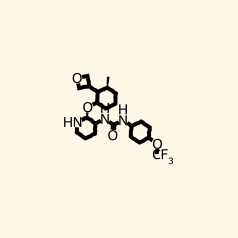 C[C@H]1CCCC(O[C@@H]2NCCCC2NC(=O)NC2CCC(OC(F)(F)F)CC2)C1C1COC1